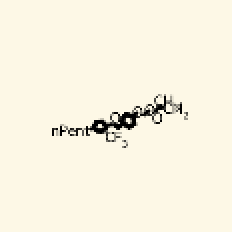 C=C(C)C(=O)OCOc1ccc2cc(-c3ccc(CCCCC)cc3C(F)(F)F)oc2c1